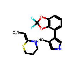 N#Cc1c[nH]cc1-c1cccc2c1OC(F)(F)O2.O=[N+]([O-])/C=C1/NCCCS1